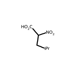 CC(C)CC(C(=O)O)[N+](=O)[O-]